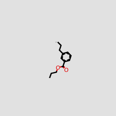 [CH2]CCc1cccc(C(=O)OCCC)c1